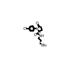 CC(C)(C)SCCNC(=O)[C@@H]1CCC(=O)N1c1ccc(Cl)cc1